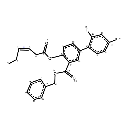 CC/C=C\CC(=O)Oc1ccc(-c2ccc(F)cc2F)cc1C(=O)OCc1ccccc1